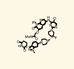 CNC(=O)COc1cc2cc(Nc3nc(N4CC[C@@H](CN5CCN(c6ccc7c([C@H]8CCC(=O)NC8=O)nn(C)c7c6)CC5)[C@H](F)C4)ncc3Cl)cnc2n(C(C)C)c1=O